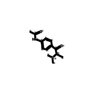 CC(=O)Nc1ccc(C(=O)C(C)N(C)C)cc1